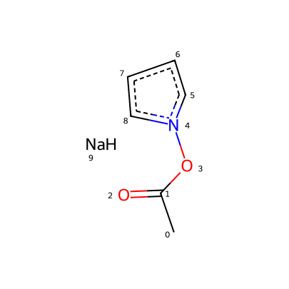 CC(=O)On1cccc1.[NaH]